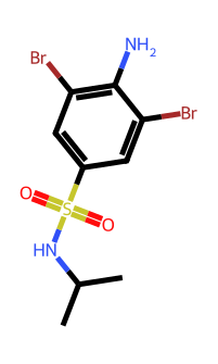 CC(C)NS(=O)(=O)c1cc(Br)c(N)c(Br)c1